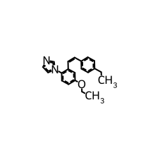 CCOc1ccc(-n2ccnc2)c(/C=C\c2ccc(CC)cc2)c1